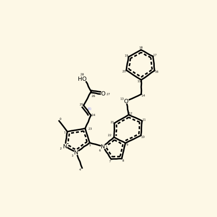 Cc1nn(C)c(-n2ccc3ccc(OCc4ccccc4)cc32)c1/C=C/C(=O)O